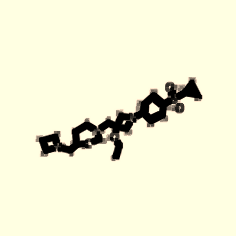 CCOC1(CN2CCC(CN3CCC3)CC2)CN(c2ccc(S(=O)(=O)C3CC3)cc2)C1